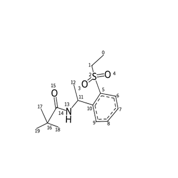 CCS(=O)(=O)c1ccccc1C(C)NC(=O)C(C)(C)C